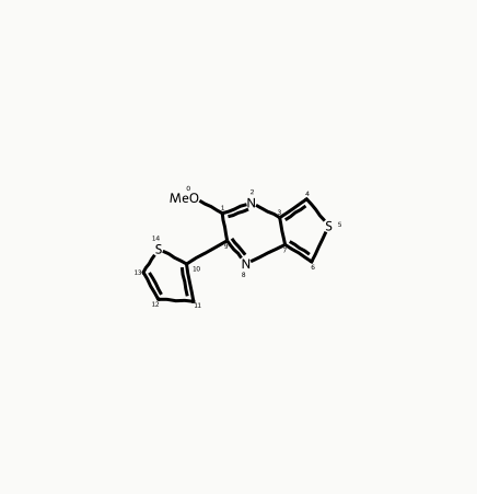 COc1nc2cscc2nc1-c1cccs1